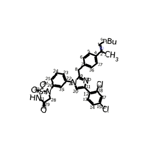 CCCC/C=C(\C)c1ccc(Cc2nc(-c3ccc(Cl)cc3Cl)cn2-c2cccc(N3CC(=O)NS3(=O)=O)c2)cc1